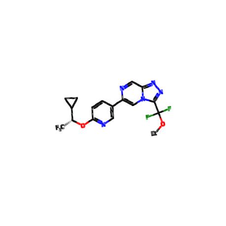 CCOC(F)(F)c1nnc2cnc(-c3ccc(O[C@@H](C4CC4)C(F)(F)F)nc3)cn12